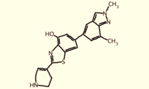 Cc1cc(-c2cc(O)c3nc(C4=CCNCC4)sc3c2)cc2cn(C)nc12